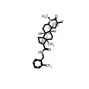 CN1C(=O)C(F)C[C@@]2(C)C1CC[C@@H]1[C@H]2CC[C@]2(C)C(C(=O)NCc3ccccc3C(F)(F)F)CC[C@@H]12